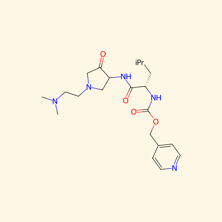 CC(C)C[C@H](NC(=O)OCc1ccncc1)C(=O)NC1CN(CCN(C)C)CC1=O